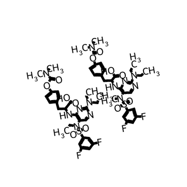 CCN(CC)c1ncc(N(C)S(=O)(=O)c2cc(F)cc(F)c2)c(NC(Cc2ccc(OC(=O)N(C)C)cc2)C(=O)O)n1.CCN(CC)c1ncc(N(CC)S(=O)(=O)c2cc(F)cc(F)c2)c(NC(Cc2ccc(OC(=O)N(C)C)cc2)C(=O)O)n1